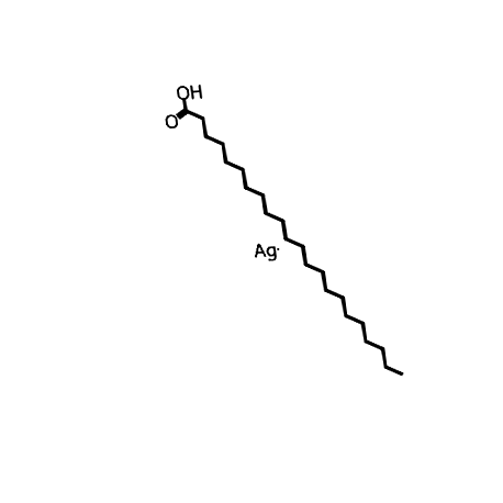 CCCCCCCCCCCCCCCCCCCCCC(=O)O.[Ag]